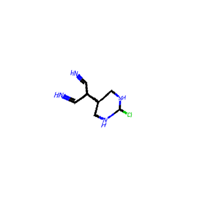 N=CC(C=N)C1CNC(Cl)NC1